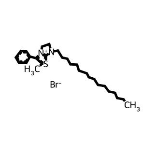 CCCCCCCCCCCCCCCCN1CC[n+]2c1sc(C)c2-c1ccccc1.[Br-]